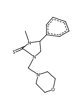 CN1C(=S)N(CN2CCOCC2)CC1c1ccccc1